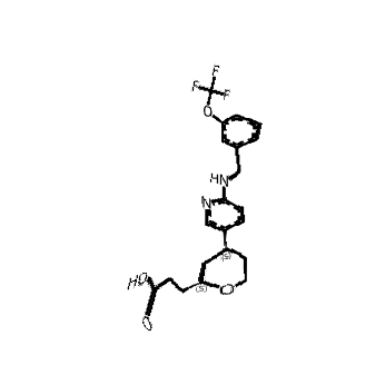 O=C(O)CC[C@H]1C[C@@H](c2ccc(NCc3cccc(OC(F)(F)F)c3)nc2)CCO1